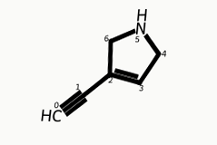 C#CC1=CCNC1